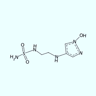 NS(=O)(=O)NCCNc1cnn(O)c1